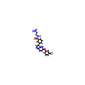 CNCCNC(=O)c1cccc(-c2cnc3ccc(Oc4cccc(Cl)c4)nn23)c1